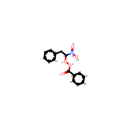 O=C(OOC(Cc1ccccc1)[N+](=O)[O-])c1ccccc1